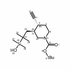 C#C[C@@H]1CCN(C(=O)OC(C)(C)C)C[C@H]1CC(C)(C)[Si](C)(C)O